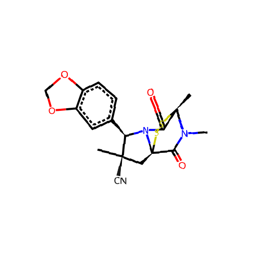 CN1C(=O)[C@]23C[C@@](C)(C#N)[C@@H](c4ccc5c(c4)OCO5)N2C(=O)[C@]1(C)SS3